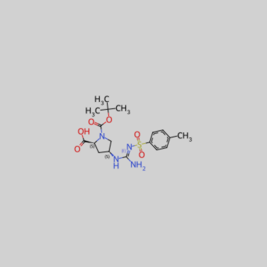 Cc1ccc(S(=O)(=O)/N=C(\N)N[C@H]2C[C@@H](C(=O)O)N(C(=O)OC(C)(C)C)C2)cc1